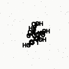 O=C(O)CNCCN(CCNCC(=O)O)[C@@H](Cc1cc(I)c(O)c(I)c1-c1ccc(O)cc1)C(=O)O